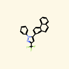 FC(F)(F)c1cc(-c2ccc3c(ccc4ccccc43)c2)n(-c2cc[c]cc2)n1